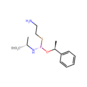 CCOC(=O)[C@H](C)N[P@@](O[C@@H](C)c1ccccc1)SCCN